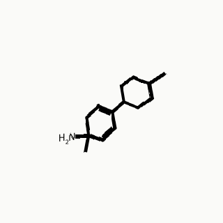 CC1CCC(C2=CCC(C)(N)C=C2)CC1